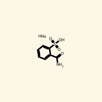 NC(=O)c1ccccc1S(=O)(=O)O.[NaH]